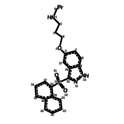 CC(C)NCCCOc1ccc2[nH]nc(S(=O)(=O)c3cccc4ccccc34)c2c1